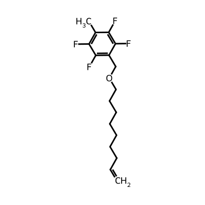 C=CCCCCCCCOCc1c(F)c(F)c(C)c(F)c1F